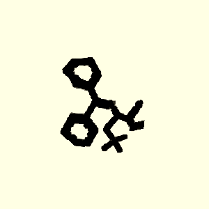 C[Si](C)(C)CC(N=C(c1ccccc1)c1ccccc1)C(=O)O